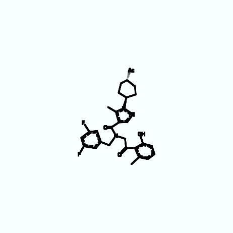 Cc1cccc(O)c1C(=O)CN(Cc1cc(F)cc(F)c1)C(=O)c1cnn([C@H]2CC[C@H](C(C)=O)CC2)c1C